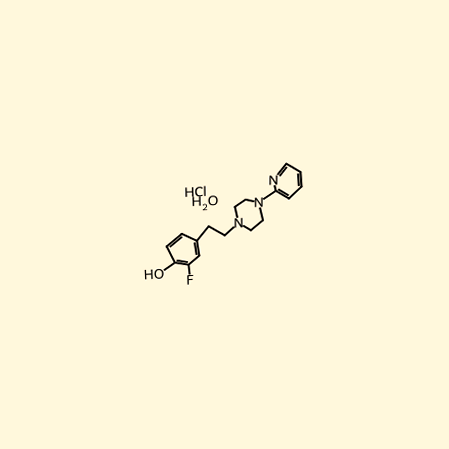 Cl.O.Oc1ccc(CCN2CCN(c3ccccn3)CC2)cc1F